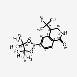 CC1(C)OB(c2ccc3c(c2)C(C(F)(F)F)CNC3=O)OC1(C)C